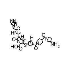 CC(NC(=O)Cn1cnnn1)[C@H]1C(=O)N2C(C(=O)O)=C(S[C@@H]3CN[C@H](C(=O)N4CCC(C(=O)N5CC[C@@H](N)C5)CC4)C3)[C@H](C)[C@H]12